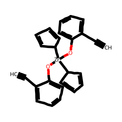 C#Cc1ccccc1[O][Zr]([O]c1ccccc1C#C)([CH]1C=CC=C1)[CH]1C=CC=C1